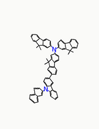 CC1(C)c2ccccc2-c2ccc(N(c3ccc4c(c3)C(C)(C)c3ccccc3-4)c3ccc4c(c3)C(C)(C)c3cc(-c5ccc6c(c5)c5ccccc5n6-c5ccc6ccccc6c5)ccc3-4)cc21